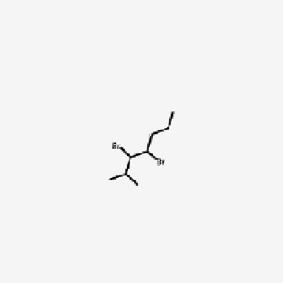 CC[CH]C(Br)C(Br)C(C)C